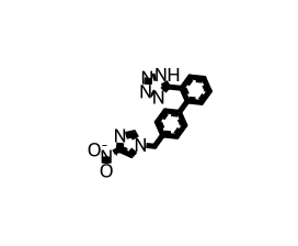 O=[N+]([O-])c1cn(Cc2ccc(-c3ccccc3-c3nnn[nH]3)cc2)cn1